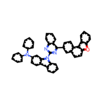 c1ccc(N(c2ccccc2)c2ccc3c4ccccc4n(-c4nc(-c5ccc6c(ccc7oc8ccccc8c76)c5)c5ccccc5n4)c3c2)cc1